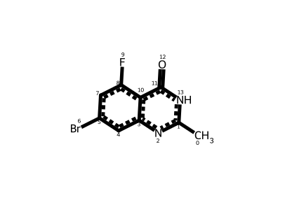 Cc1nc2cc(Br)cc(F)c2c(=O)[nH]1